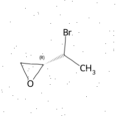 CC(Br)[C@H]1CO1